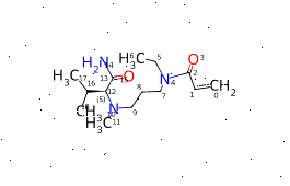 C=CC(=O)N(CC)CCCN(C)[C@H](C(N)=O)C(C)C